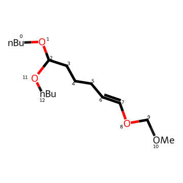 CCCCOC(CCCC=COCOC)OCCCC